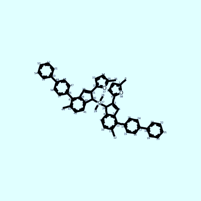 Cc1ccc(C2=Cc3c(ccc(C)c3-c3ccc(-c4ccccc4)cc3)C2[Si](C)(C)C2C(c3ccc(C)o3)=Cc3c2ccc(C)c3-c2ccc(-c3ccccc3)cc2)o1